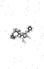 CC(C)C(NC(=O)OCc1ccccc1)C(=O)NC1CCc2onnc2CNC(=O)C1=O